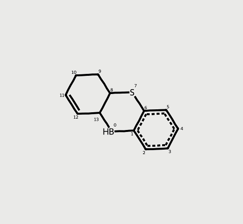 B1c2ccccc2SC2CCC=CC12